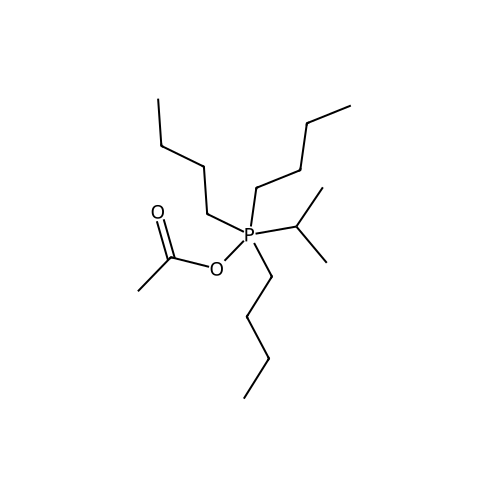 CCCCP(CCCC)(CCCC)(OC(C)=O)C(C)C